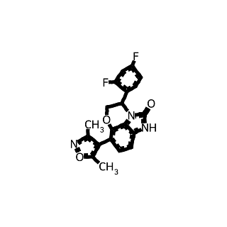 Cc1noc(C)c1-c1ccc2[nH]c(=O)n3c2c1OCC3c1ccc(F)cc1F